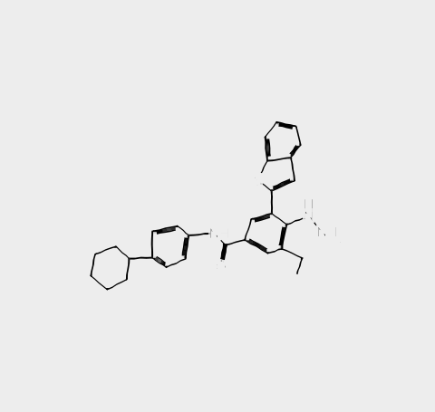 NNc1c(CI)cc(C(=O)Nc2ccc(C3CCCCC3)cc2)cc1-c1cc2ccccc2s1